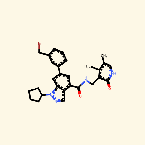 Cc1c[nH]c(=O)c(CNC(=O)c2cc(-c3cccc(CBr)c3)cc3c2cnn3C2CCCC2)c1C